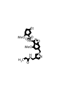 C=CC(=O)NCc1cnn(Cc2cc(OC)c3c(NS(=O)(=O)c4cc(CC)ccc4OC)noc3c2)c1